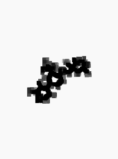 Cc1c(-c2ccc(OCC(C)(N)CC(C)C)c(C(F)(F)F)c2)ccnc1F